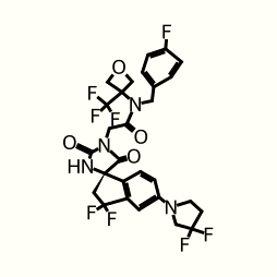 O=C1N[C@]2(CC(F)(F)c3cc(N4CCC(F)(F)C4)ccc32)C(=O)N1CC(=O)N(Cc1ccc(F)cc1)C1(C(F)(F)F)COC1